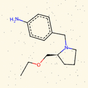 CCOC[C@@H]1CCCN1Cc1ccc(N)cc1